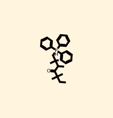 CCC(C)(C)C(=O)C(C)C(C)(C)C[PH](c1ccccc1)(c1ccccc1)c1ccccc1